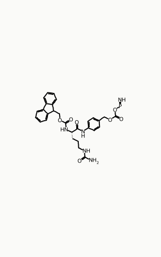 N=POC(=O)OCc1ccc(NC(=O)[C@H](CCCNC(N)=O)NC(=O)OCC2c3ccccc3-c3ccccc32)cc1